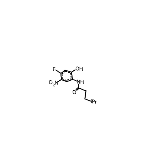 CC(C)CCC(=O)Nc1cc([N+](=O)[O-])c(F)cc1O